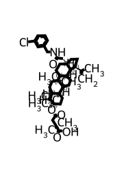 C=C(C)[C@@H]1CC[C@]2(CC(=O)NCc3cccc(Cl)c3)CC[C@]3(C)[C@H](CC[C@@H]4[C@@]5(C)CC[C@H](OC(=O)CC(C)(C)C(=O)O)C(C)(C)[C@@H]5CC[C@]43C)[C@@H]12